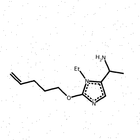 C=CCCCOc1ncc(C(C)N)n1CC